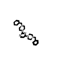 C1=CC(CN2CCN(c3nccc(N4CCN(Cc5ccccc5)CC4)n3)CC2)=CCC1